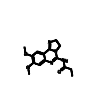 CCC(=O)NC1=Nc2cc(OC)c(OC)cc2C2=NCCN12